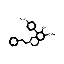 COc1ccc(-c2c(O)c(OC)cc3c2CN(CCc2ccccc2)CC3)cc1